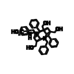 O=C(O)CNCC12C(c3ccccc3)C3(CO)C4N(Cc5ccccc5)C1C1(CO)C(c5ccccc5)C4(CO)C3N(Cc3ccccc3)C12